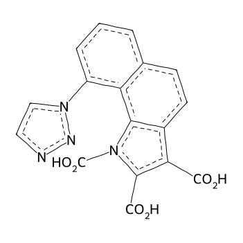 O=C(O)c1c(C(=O)O)n(C(=O)O)c2c1ccc1cccc(-n3ccnn3)c12